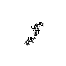 CC(C)NC(=O)c1cc(F)c(N2CC(CNC3CC3c3ccccc3)C2)cc1Cl